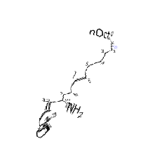 CCCCCCCC/C=C\CCCCCCCC(N)C=C=O